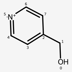 OCC1=CC=[N+]C=C1